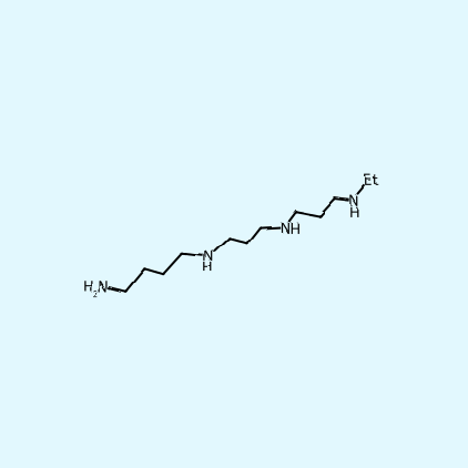 CCNCCCNCCCNCCCCN